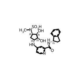 CN([C@@H]1C[C@@H](Nc2ccnc(C(=O)N[C@H]3CCc4ccccc43)c2)[C@H](O)[C@@H]1O)S(=O)(=O)O